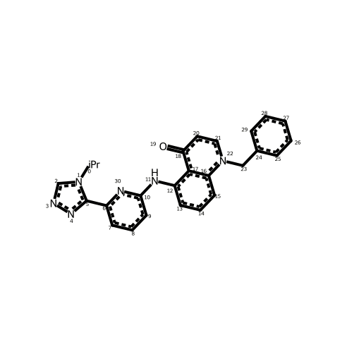 CC(C)n1cnnc1-c1cccc(Nc2cccc3c2c(=O)ccn3Cc2ccccc2)n1